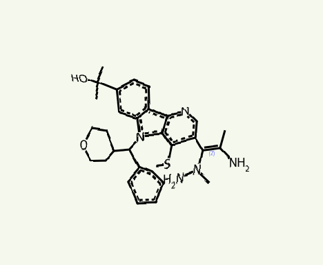 CSc1c(/C(=C(\C)N)N(C)N)cnc2c3ccc(C(C)(C)O)cc3n(C(c3ccccc3)C3CCOCC3)c12